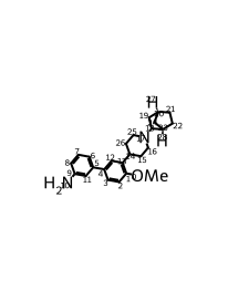 COc1ccc(-c2cccc(N)c2)cc1C1CCN([C@H]2C[C@H]3CC[C@H]2C3)CC1